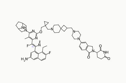 C=N/C(=C(/F)c1nc(OCC2(CN3CCC4(CC3)CC(CN3CCN(c5ccc6c(c5)CN(C5CCC(=O)NC5=O)C6=O)CC3)C4)CC2)nc(N2CC3CCC(C2)N3)c1C)c1cc(N)cc2ccc(F)c(CC)c12